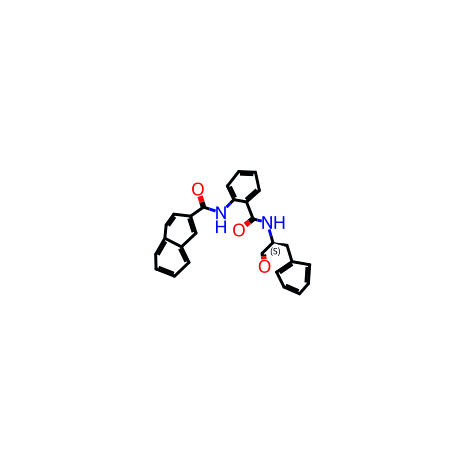 O=C[C@H](Cc1ccccc1)NC(=O)c1ccccc1NC(=O)c1ccc2ccccc2c1